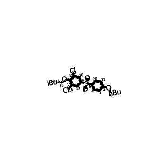 CCCCOc1ccc(S(=O)(=O)c2cc(Cl)c(OC[C@@H](C)CC)c(Cl)c2)cc1